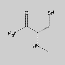 CN[C@@H](CS)C(=O)P